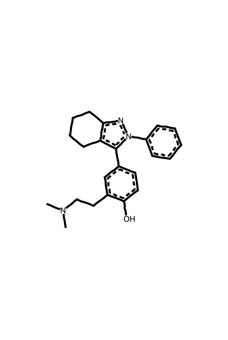 CN(C)CCc1cc(-c2c3c(nn2-c2ccccc2)CCCC3)ccc1O